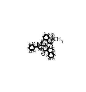 CS(=O)(=O)c1cccc(F)c1C1COc2c(-c3ccccc3F)c(=O)n(CC(N)c3ccccc3)c(=O)n21